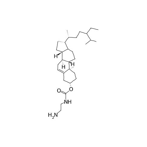 CCC(CC[C@@H](C)[C@H]1CC[C@@H]2C1CC[C@H]1[C@H]2CC=C2C[C@@H](OC(=O)NCCN)CC[C@@]21C)C(C)C